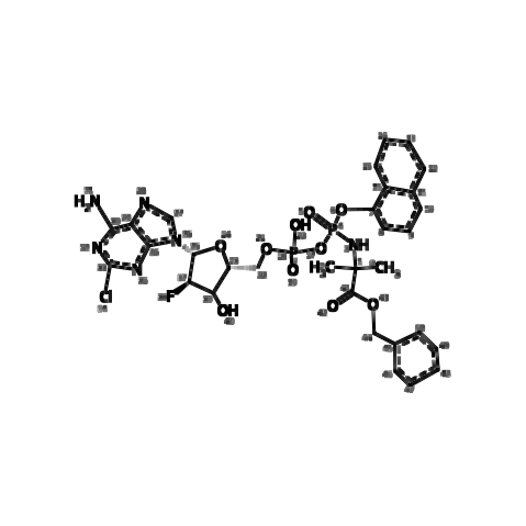 CC(C)(NP(=O)(Oc1cccc2ccccc12)OP(=O)(O)OC[C@H]1O[C@@H](n2cnc3c(N)nc(Cl)nc32)[C@H](F)C1O)C(=O)OCc1ccccc1